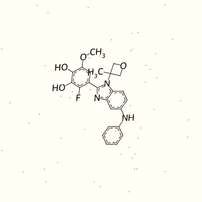 COc1cc(-c2nc3cc(Nc4ccccc4)ccc3n2C2(C)COC2)c(F)c(O)c1O